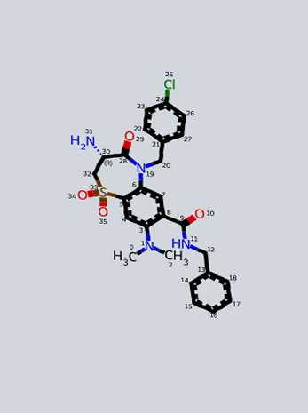 CN(C)c1cc2c(cc1C(=O)NCc1ccccc1)N(Cc1ccc(Cl)cc1)C(=O)[C@@H](N)CS2(=O)=O